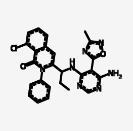 CCC(Nc1ncnc(N)c1-c1nc(C)no1)c1cc2cccc(Cl)c2c(=O)n1-c1ccccc1